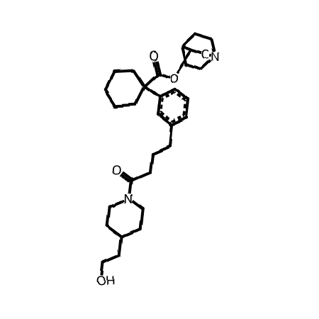 O=C(CCCc1cccc(C2(C(=O)OC3CN4CCC3CC4)CCCCC2)c1)N1CCC(CCO)CC1